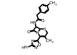 CCCc1noc(C2=C(C)CSC3C(NC(=O)Cc4ccc(C)cc4)C(=O)N23)n1